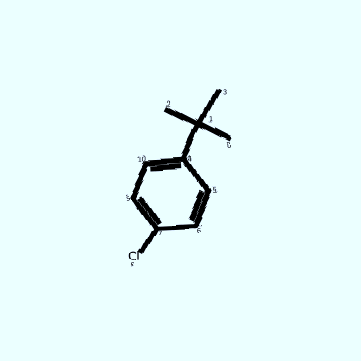 CC(C)(C)c1c[c]c(Cl)cc1